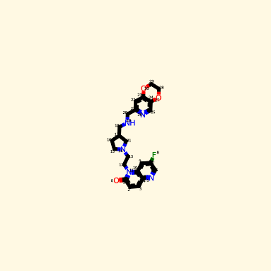 O=c1ccc2ncc(F)cc2n1CCN1CCC(CNCc2cc3c(cn2)OCCO3)C1